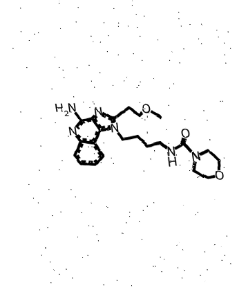 COCCc1nc2c(N)nc3ccccc3c2n1CCCCNC(=O)N1CCOCC1